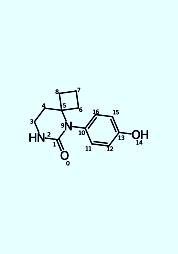 O=C1NCCC2(CCC2)N1c1ccc(O)cc1